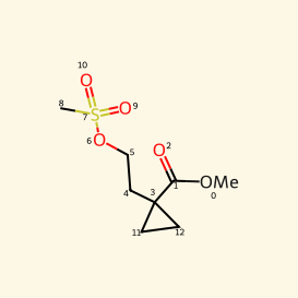 COC(=O)C1(CCOS(C)(=O)=O)CC1